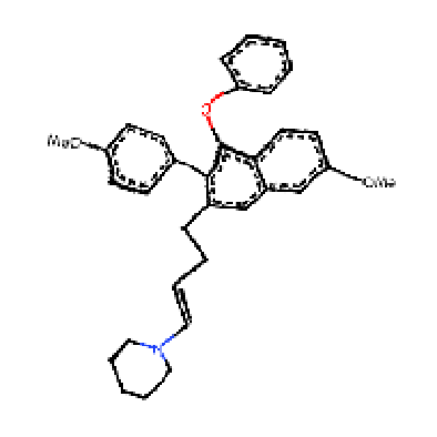 COc1ccc(-c2c(CCC=CN3CCCCC3)cc3cc(OC)ccc3c2Oc2ccccc2)cc1